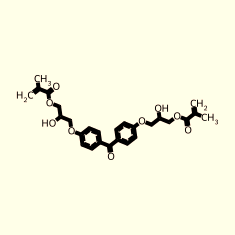 C=C(C)C(=O)OCC(O)COc1ccc(C(=O)c2ccc(OCC(O)COC(=O)C(=C)C)cc2)cc1